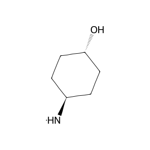 [NH][C@H]1CC[C@H](O)CC1